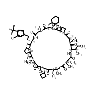 CC[C@H](C)[C@@H]1NC(=O)[C@H](C)N(C)C(=O)C[C@@H](C)N(C)C(=O)[C@H](C2CCC2)N(C)C(=O)C(C)(C)N(C)C(=O)[C@@H]2CCCN2C(=O)[C@H](CCc2ccc(C(F)(F)F)c(Cl)c2)NC(=O)CN(C)C(=O)[C@H](CC2CCCCC2)N(C)C(=O)[C@@H]2CCN2C(=O)[C@H](C)N(C)C1=O